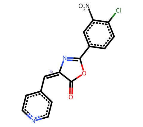 O=C1OC(c2ccc(Cl)c([N+](=O)[O-])c2)=N/C1=C/c1ccncc1